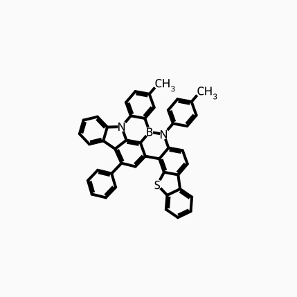 Cc1ccc(N2B3c4cc(C)ccc4-n4c5ccccc5c5c(-c6ccccc6)cc(c3c54)-c3c2ccc2c3sc3ccccc32)cc1